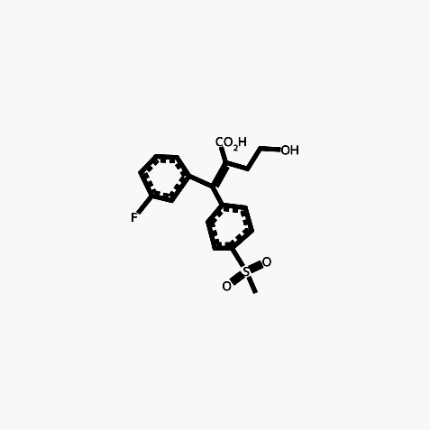 CS(=O)(=O)c1ccc(C(=C(CCO)C(=O)O)c2cccc(F)c2)cc1